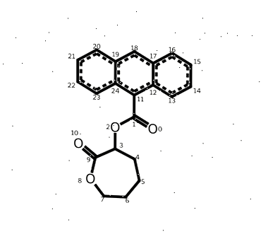 O=C(OC1CCCCOC1=O)c1c2ccccc2cc2ccccc12